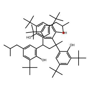 CC(C)Cc1cc(C(CC(C)(c2cc(C(C)(C)C)cc(C(C)(C)C)c2O)c2cc(C(C)(C)C)cc(C(C)(C)C)c2O)c2cc(CC(C)C)cc(C(C)(C)C)c2O)c(O)c(C(C)(C)C)c1